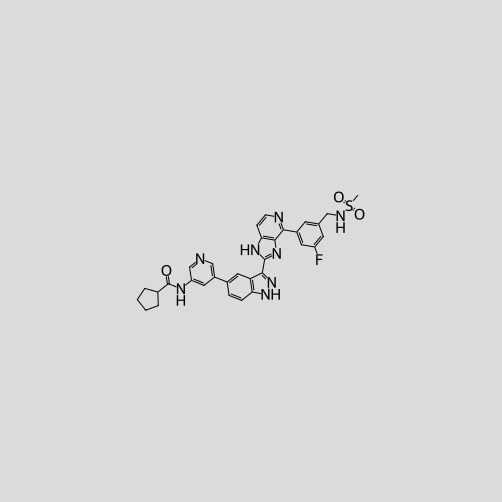 CS(=O)(=O)NCc1cc(F)cc(-c2nccc3[nH]c(-c4n[nH]c5ccc(-c6cncc(NC(=O)C7CCCC7)c6)cc45)nc23)c1